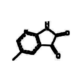 Cc1cnc2c(c1)C(=O)C(=O)N2